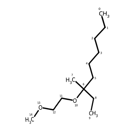 CCCCCCC(C)(CC)OCCOC